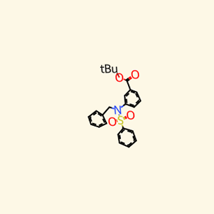 CC(C)(C)OC(=O)c1cccc(N(Cc2ccccc2)S(=O)(=O)c2ccccc2)c1